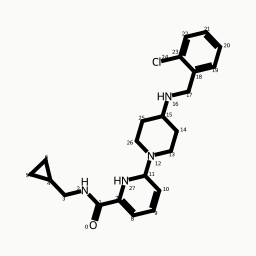 O=C(NCC1CC1)C1=CC=CC(N2CCC(NCc3ccccc3Cl)CC2)N1